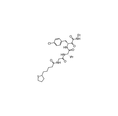 CCNC(=O)C(=O)[C@H](Cc1ccc(Cl)cc1)NC(=O)[C@@H](NC(=O)CNC(=O)CCCCC1CCCS1)C(C)C